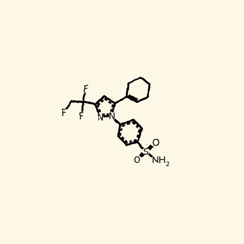 NS(=O)(=O)c1ccc(-n2nc(C(F)(F)CF)cc2C2=CCCCC2)cc1